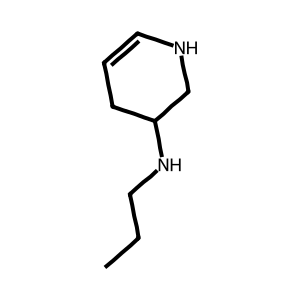 CCCNC1CC=CNC1